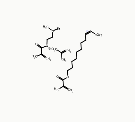 C=C(C)C(=O)OCC.C=C(C)C(=O)OCCCCCCCC/C=C\CCCCCCCC.C=C(C)C(=O)OCCN(C)CC